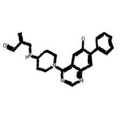 C=C(C=O)CNC1CCN(c2ncnc3cc(-c4ccccc4)c(Cl)cc23)CC1